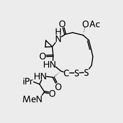 CNC(=O)C(NC(=O)[C@H]1CSSCC/C=C/[C@@H](OC(C)=O)CC(=O)NC2(CC2)C(=O)N1)C(C)C